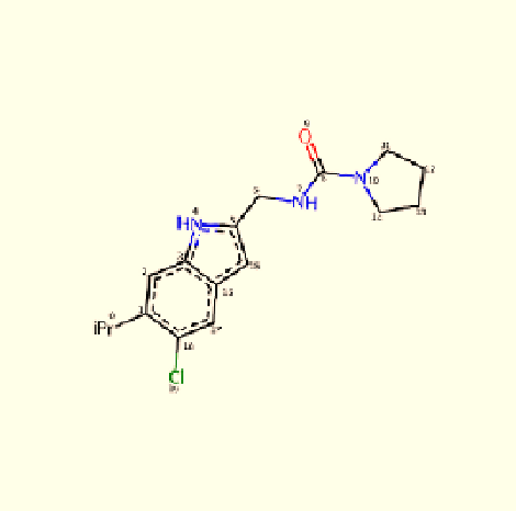 CC(C)c1cc2[nH]c(CNC(=O)N3CCCC3)cc2cc1Cl